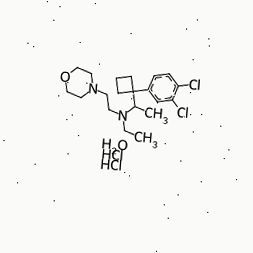 CCN(CCN1CCOCC1)C(C)C1(c2ccc(Cl)c(Cl)c2)CCC1.Cl.Cl.O